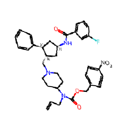 C=CCN(C(=O)OCc1ccc([N+](=O)[O-])cc1)C1CCN(C[C@H]2C[C@H](NC(=O)c3cccc(F)c3)C[C@@H]2c2ccccc2)CC1